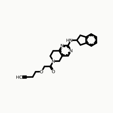 C#CCCOCC(=O)N1CCc2nc(NC3Cc4ccccc4C3)ncc2C1